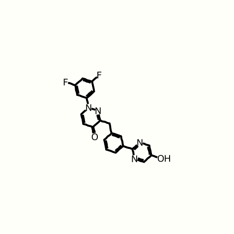 O=c1ccn(-c2cc(F)cc(F)c2)nc1Cc1cccc(-c2ncc(O)cn2)c1